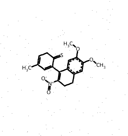 COc1cc2c(cc1OC)C(C1=CC(C)=CCC1=S)=C([N+](=O)[O-])CC2